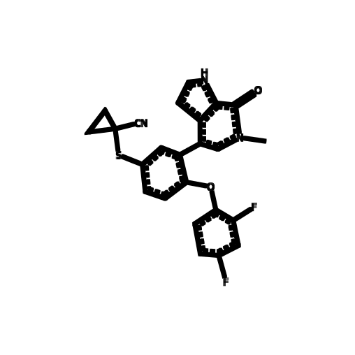 Cn1cc(-c2cc(SC3(C#N)CC3)ccc2Oc2ccc(F)cc2F)c2cc[nH]c2c1=O